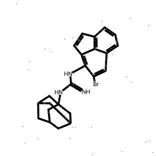 N=C(Nc1c(Br)cc2cccc3c2c1C=C3)NC12CC3CC(CC(C3)C1)C2